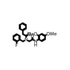 COc1ccc(NC(=O)CN(Cc2ccccc2F)C(=O)Cc2ccccc2)c(OC)c1